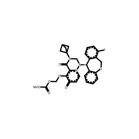 COC(=O)OCOc1c2n(ccc1=O)N([C@@H]1c3ccccc3SCc3c(F)cccc31)CN(C13CC(C1)C3)C2=O